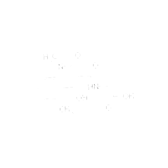 Cc1cccc2c1c(O)c(C(=O)NCC(=O)O)c(=O)n2C